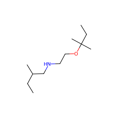 CCC(C)CNCCOC(C)(C)CC